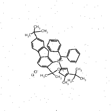 CC1=C(C(C)(C)C)C=[C]([Zr+2](=[C](c2ccccc2)c2ccccc2)[c]2c(C(C)(C)C)ccc3c2Cc2cc(C(C)(C)C)ccc2-3)C1.[Cl-].[Cl-]